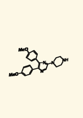 COc1ccc(-c2ncc(N3CCNCC3)nc2-c2ccc(OC)cc2)cc1